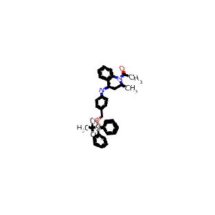 CC(=O)N1c2ccccc2C(=Nc2ccc(CO[Si](c3ccccc3)(c3ccccc3)C(C)(C)C)cc2)CC1C